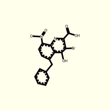 O=C(O)c1nc2c([N+](=O)[O-])ccc(Cc3ccccc3)c2c(O)c1Br